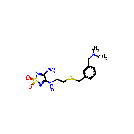 CN(C)Cc1cccc(CSCCNC2=NS(=O)(=O)N=C2N)c1